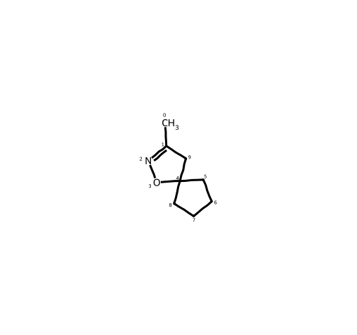 CC1=NOC2(CCCC2)C1